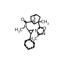 Cc1noc(C2(C)CC3CCC2N(C(=O)N(C)C2CC2c2ccccc2)C3)n1